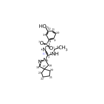 CCN/C(=N\S(=O)(=O)c1cccc(O)c1)N1CC2(C=N1)CCCC2